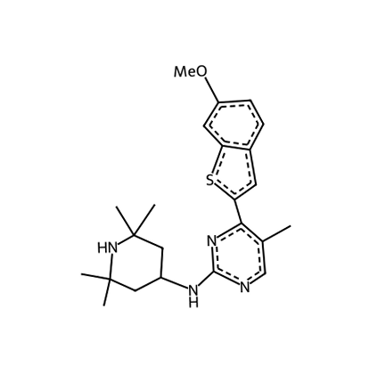 COc1ccc2cc(-c3nc(NC4CC(C)(C)NC(C)(C)C4)ncc3C)sc2c1